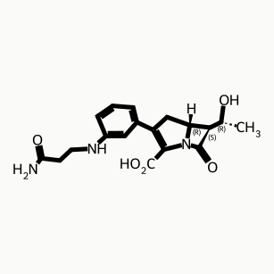 C[C@@H](O)[C@H]1C(=O)N2C(C(=O)O)=C(c3cccc(NCCC(N)=O)c3)C[C@H]12